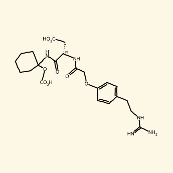 N=C(N)NCCc1ccc(OCC(=O)N[C@@H](CC(=O)O)C(=O)NC2(OC(=O)O)CCCCC2)cc1